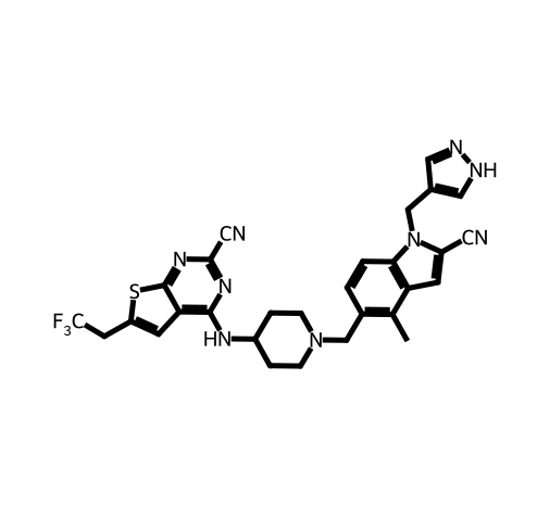 Cc1c(CN2CCC(Nc3nc(C#N)nc4sc(CC(F)(F)F)cc34)CC2)ccc2c1cc(C#N)n2Cc1cn[nH]c1